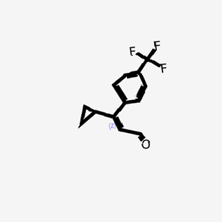 O=C/C=C(\c1ccc(C(F)(F)F)cc1)C1CC1